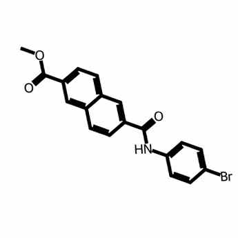 COC(=O)c1ccc2cc(C(=O)Nc3ccc(Br)cc3)ccc2c1